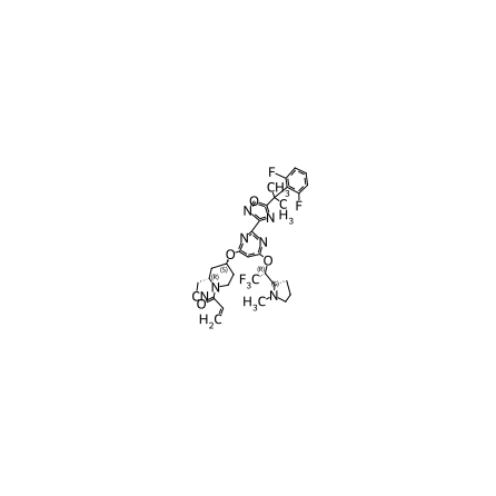 C=CC(=O)N1CC[C@H](Oc2cc(O[C@H]([C@@H]3CCCN3C)C(F)(F)F)nc(-c3noc(C(C)(C)c4c(F)cccc4F)n3)n2)C[C@H]1CC#N